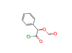 O=CO[C@@H](C(=O)Cl)c1ccccc1